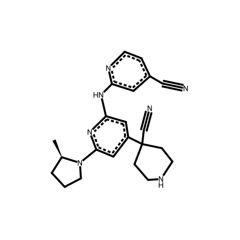 C[C@@H]1CCCN1c1cc(C2(C#N)CCNCC2)cc(Nc2cc(C#N)ccn2)n1